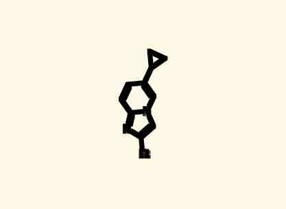 CCc1cn2cc(C3CC3)ccc2n1